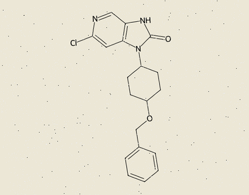 O=c1[nH]c2cnc(Cl)cc2n1C1CCC(OCc2ccccc2)CC1